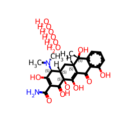 CN(C)[C@@H]1C(O)=C(C(N)=O)C(=O)[C@@]2(O)C(O)=C3C(=O)c4c(O)cccc4[C@@](C)(O)[C@H]3C[C@@H]12.O.O.O.O.O.O